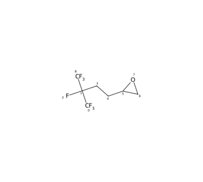 FC(F)(F)C(F)(CCC1CO1)C(F)(F)F